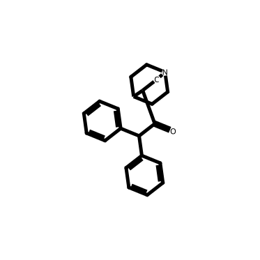 O=C(C(c1ccccc1)c1ccccc1)C1CN2CCC1CC2